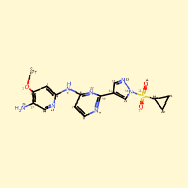 CC(C)Oc1cc(Nc2ccnc(-c3cnn(S(=O)(=O)C4CC4)c3)n2)ncc1N